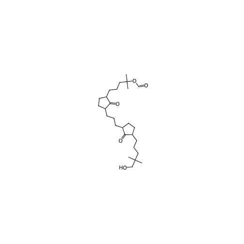 CC(C)(CO)CCCC1CCC(CCCC2CCC(CCCC(C)(C)OC=O)C2=O)C1=O